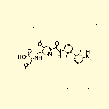 CNc1cccc(-c2cccc(NC(=O)c3cc(OC)c(CN[C@@H](COC)C(=O)O)cn3)c2C)c1C